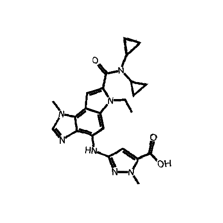 CCn1c(C(=O)N(C2CC2)C2CC2)cc2c3c(ncn3C)c(Nc3cc(C(=O)O)n(C)n3)cc21